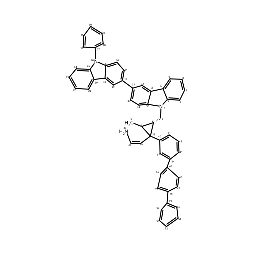 CC1[C@H](Cn2c3ccccc3c3cc(-c4ccc5c(c4)c4ccccc4n5-c4ccccc4)ccc32)C1(/C=C\N)c1cccc(-c2ccc(-c3ccccc3)cc2)c1